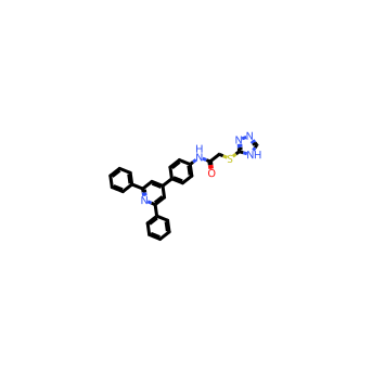 O=C(CSc1nnc[nH]1)Nc1ccc(-c2cc(-c3ccccc3)nc(-c3ccccc3)c2)cc1